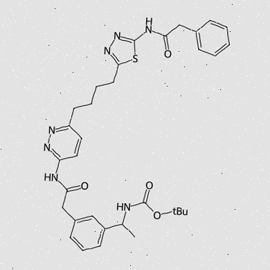 CC(NC(=O)OC(C)(C)C)c1cccc(CC(=O)Nc2ccc(CCCCc3nnc(NC(=O)Cc4ccccc4)s3)nn2)c1